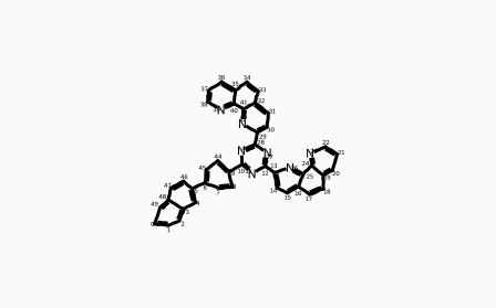 c1ccc2cc(-c3ccc(-c4nc(-c5ccc6ccc7cccnc7c6n5)nc(-c5ccc6ccc7cccnc7c6n5)n4)cc3)ccc2c1